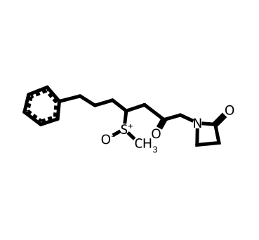 C[S+]([O-])C(CCCc1ccccc1)CC(=O)CN1CCC1=O